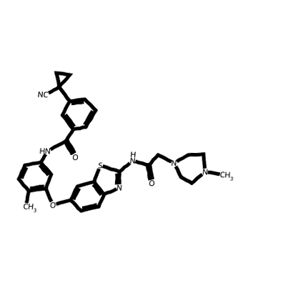 Cc1ccc(NC(=O)c2cccc(C3(C#N)CC3)c2)cc1Oc1ccc2nc(NC(=O)CN3CCN(C)CC3)sc2c1